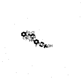 CC(C)(CO)N1CCN(c2ccc(Nc3ncc(Cl)c(C(=O)Nc4c(F)cccc4C#N)n3)cc2F)CC1